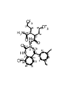 Cc1cc(C)cc(C2=N[C@H](NC(=O)C(CCC(F)(F)F)C(CCC(F)(F)F)C(N)=O)C(=O)Nc3c(Cl)cccc32)c1